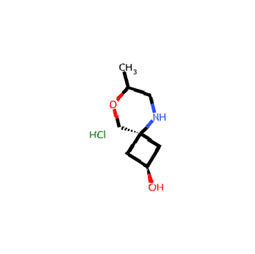 CC1CN[C@]2(CO1)C[C@H](O)C2.Cl